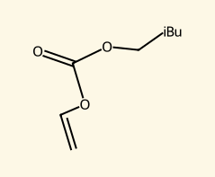 C=COC(=O)OCC(C)CC